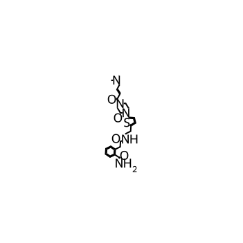 CN(C)CC=CC(=O)N1CCN(c2ccc(CCNC(=O)Cc3ccccc3C(N)=O)s2)C(=O)C1